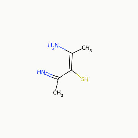 CC(=N)/C(S)=C(/C)N